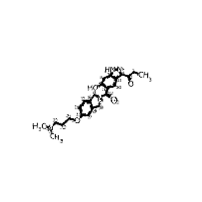 CCC(=O)c1n[nH]c2cc(O)c(C(=O)N3Cc4ccc(OCCCN(C)C)cc4C3)cc12